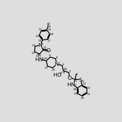 CC1(OC[C@H](O)CN2CCC(N[C@@H]3CCN(c4ccc(F)cc4)C3=O)CC2)Nc2ccccc2S1